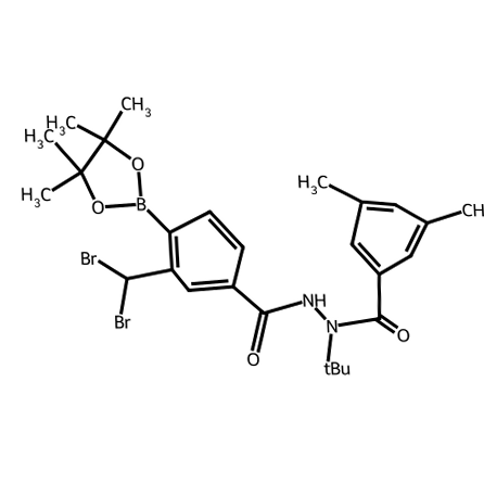 Cc1cc(C)cc(C(=O)N(NC(=O)c2ccc(B3OC(C)(C)C(C)(C)O3)c(C(Br)Br)c2)C(C)(C)C)c1